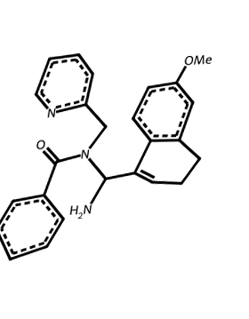 COc1ccc2c(c1)CCC=C2C(N)N(Cc1ccccn1)C(=O)c1ccccc1